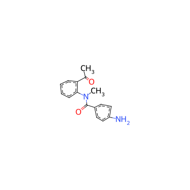 CC(=O)c1ccccc1N(C)C(=O)c1ccc(N)cc1